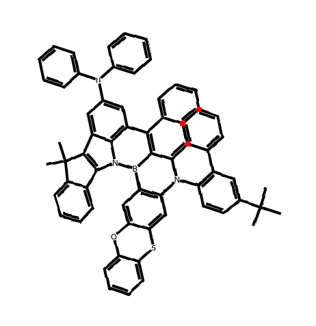 CC(C)(C)c1ccc(N2c3cc4c(cc3B3c5c2cc2ccccc2c5-c2cc(N(c5ccccc5)c5ccccc5)cc5c6c(n3c25)-c2ccccc2C6(C)C)Oc2ccccc2S4)c(-c2ccccc2)c1